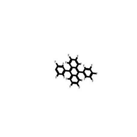 Fc1cc(F)c(F)c(-c2c3c(F)c(F)c(F)c(F)c3c(-c3c(F)c(F)c(F)c(F)c3F)c3c(F)c(F)c(F)c(F)c23)c1F